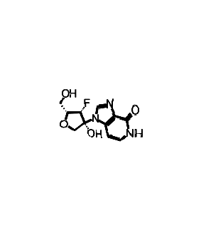 O=c1[nH]ccc2c1ncn2[C@@]1(O)CO[C@H](CO)[C@@H]1F